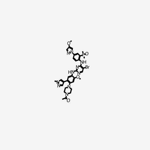 COc1cnn(-c2ccc(Nc3nc(Nc4cc(-c5cnn(C)c5)c(N5CCN(C(C)=O)CC5)cc4OC)ncc3Br)c(P(C)(C)=O)c2)c1